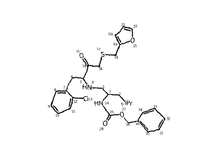 CC(C)CC(CNC(Cc1ccccc1Cl)C(=O)CSCc1ccco1)NC(=O)OCc1ccccc1